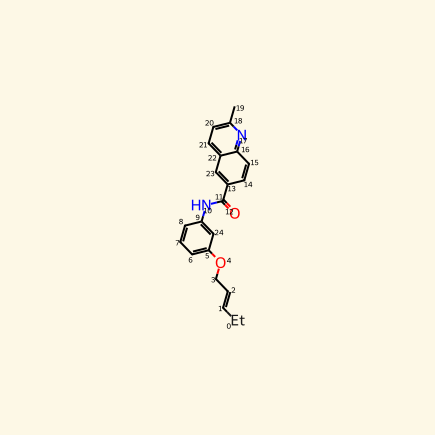 CCC=CCOc1cccc(NC(=O)c2ccc3nc(C)ccc3c2)c1